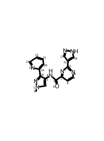 Cn1cc(NC(=O)c2ccnc(-c3cn[nH]c3)n2)c(-c2ccccn2)n1